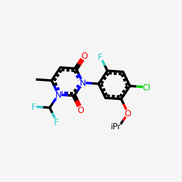 Cc1cc(=O)n(-c2cc(OC(C)C)c(Cl)cc2F)c(=O)n1C(F)F